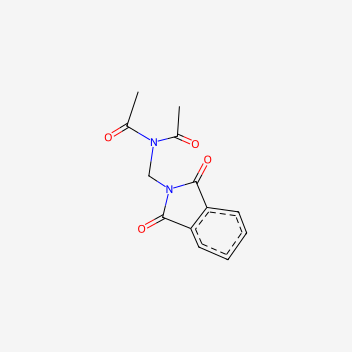 CC(=O)N(CN1C(=O)c2ccccc2C1=O)C(C)=O